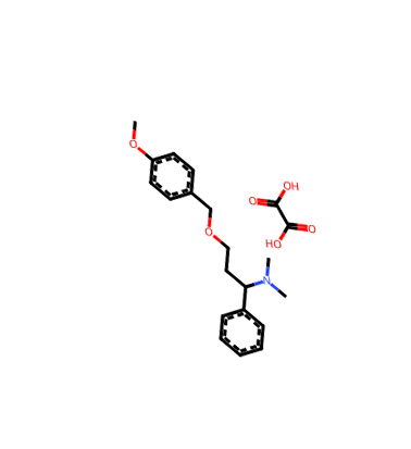 COc1ccc(COCCC(c2ccccc2)N(C)C)cc1.O=C(O)C(=O)O